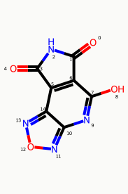 O=C1NC(=O)c2c1c(O)nc1nonc21